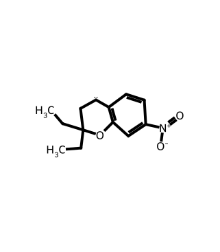 CCC1(CC)C[C]c2ccc([N+](=O)[O-])cc2O1